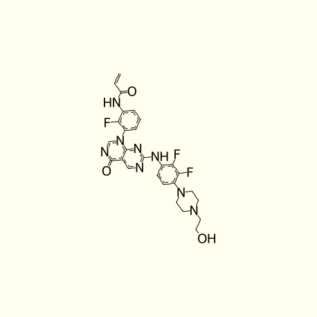 C=CC(=O)Nc1cccc(-n2cnc(=O)c3cnc(Nc4ccc(N5CCN(CCO)CC5)c(F)c4F)nc32)c1F